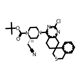 CC(C)(C)OC(=O)N1CCN(c2nc(Cl)nc3c2CCC2(CSCc4ccccc42)C3)C[C@@H]1CC#N